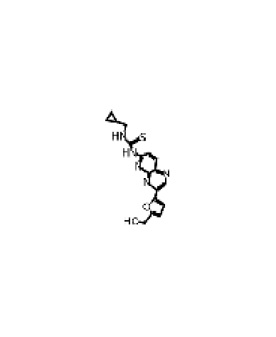 OCc1ccc(-c2cnc3ccc(NC(=S)NCC4CC4)nc3n2)o1